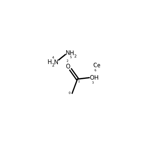 CC(=O)O.NN.[Ce]